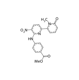 COC(=O)c1ccc(Nc2nc(-c3cccc(=O)n3C)ccc2[N+](=O)[O-])cc1